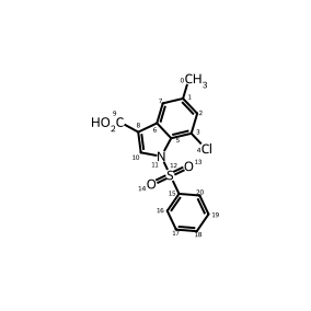 Cc1cc(Cl)c2c(c1)c(C(=O)O)cn2S(=O)(=O)c1ccccc1